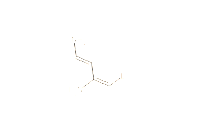 CC/C=C(N)\C=C\N